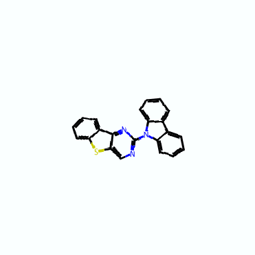 c1ccc2c(c1)sc1cnc(-n3c4ccccc4c4ccccc43)nc12